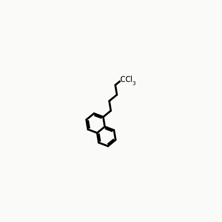 ClC(Cl)(Cl)CCCCc1cccc2ccccc12